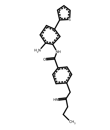 CCCC(=N)Cc1ccc(C(=O)Nc2cc(-c3cccs3)ccc2N)cc1